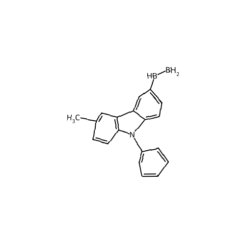 BBc1ccc2c(c1)c1cc(C)ccc1n2-c1ccccc1